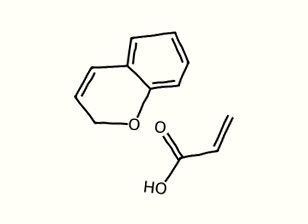 C1=Cc2ccccc2OC1.C=CC(=O)O